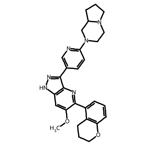 COc1cc2[nH]nc(-c3ccc(N4CCN5CCCC5C4)nc3)c2nc1-c1cccc2c1CCCO2